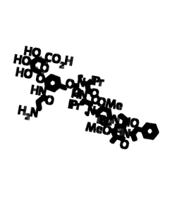 CCC(C)C(C(CC(=O)N1CCC[C@H]1C(OC)C(C)C(=O)NC(C)C(O)c1ccccc1)OC)N(C)C(=O)C(NC(=O)C(C(C)C)N(C)C(=O)OCc1ccc(O[C@@H]2O[C@H](C(=O)O)[C@@H](O)[C@H](O)[C@H]2O)c(NC(=O)CCN)c1)C(C)C